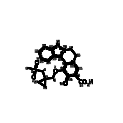 CS(=O)(=O)CC1(COc2c3n(cc(C(=O)O)c2=O)CCn2nc4ccccc4c2-3)CC1